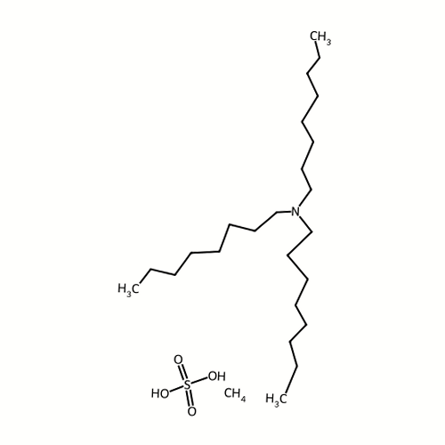 C.CCCCCCCCN(CCCCCCCC)CCCCCCCC.O=S(=O)(O)O